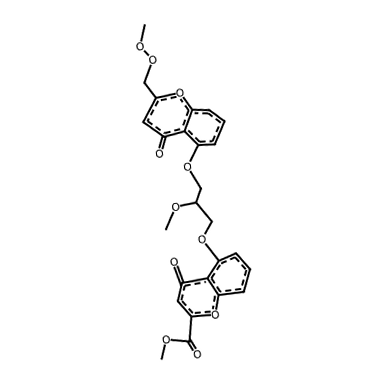 COOCc1cc(=O)c2c(OCC(COc3cccc4oc(C(=O)OC)cc(=O)c34)OC)cccc2o1